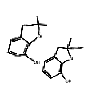 CC1(C)Cc2cccc(O)c2O1.CC1(C)Cc2cccc(O)c2O1